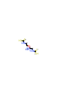 N.N.S=C(S)NCCOCCNC(=S)S